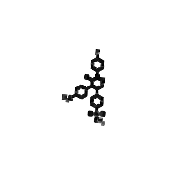 Cc1ccc(-c2c(-c3ccc(S(C)(=O)=O)cc3)cnn(-c3ccc(F)cc3)c2=O)cc1